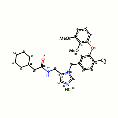 COc1cccc(Oc2cc(Cn3cncc3CNC(=O)CC3CCCCC3)ccc2C#N)c1OC.Cl